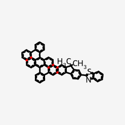 CC1(C)c2cc(-c3ccc4c(-c5ccccc5-c5ccccc5)c5ccccc5c(-c5ccccc5-c5ccccc5)c4c3)ccc2-c2ccc(-c3nc4ccccc4s3)cc21